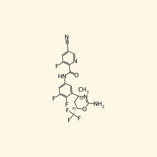 C[C@@]1(c2cc(NC(=O)c3ncc(C#N)cc3F)cc(F)c2F)C[C@@H](C(F)(F)F)OC(N)=N1